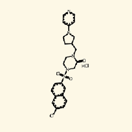 Cl.O=C1CN(S(=O)(=O)c2ccc3cc(Cl)ccc3c2)CCN1CC1CCN(c2ccncc2)C1